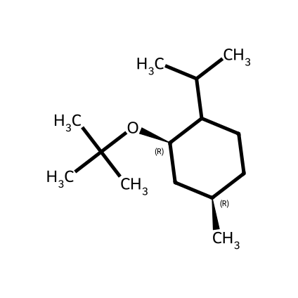 CC(C)C1CC[C@@H](C)C[C@H]1OC(C)(C)C